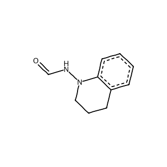 O=CNN1CCCc2ccccc21